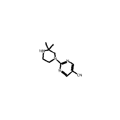 CC1(C)CN(c2ncc(C#N)cn2)CCN1